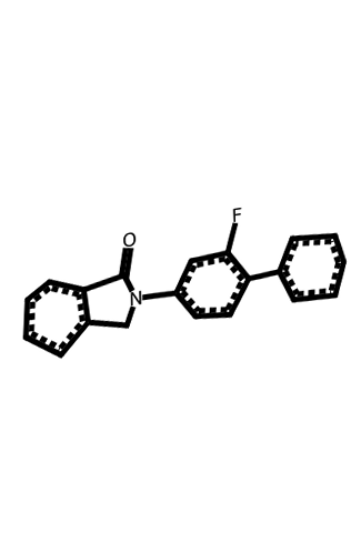 O=C1c2ccccc2CN1c1ccc(-c2ccccc2)c(F)c1